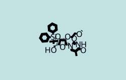 COCCO[C@@H]1[C@H](O[Si](c2ccccc2)(c2ccccc2)C(C)(C)C)[C@@H](CO)O[C@H]1n1cc(C)c(=O)[nH]c1=O